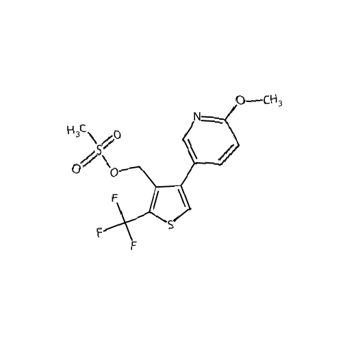 COc1ccc(-c2csc(C(F)(F)F)c2COS(C)(=O)=O)cn1